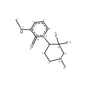 CNc1cccn(C2CCN(C)CC2(F)F)c1=O